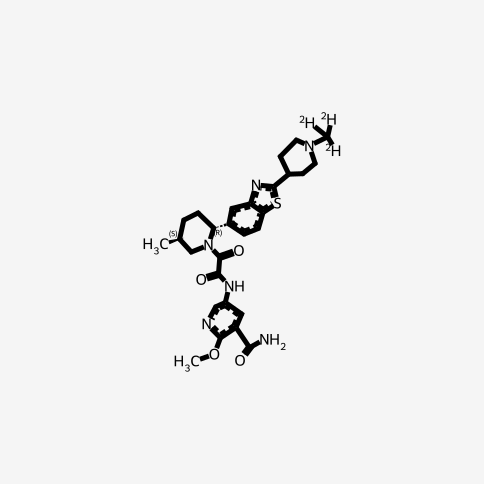 [2H]C([2H])([2H])N1CCC(c2nc3cc([C@H]4CC[C@H](C)CN4C(=O)C(=O)Nc4cnc(OC)c(C(N)=O)c4)ccc3s2)CC1